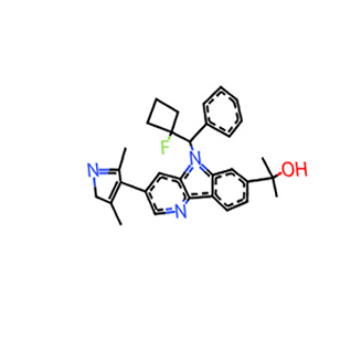 CC1=NCC(C)=C1c1cnc2c3ccc(C(C)(C)O)cc3n(C(c3ccccc3)C3(F)CCC3)c2c1